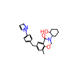 Cc1cc(Cc2ccc(-n3cccn3)cc2)cc2c1OCN(C1CCCCC1O)C2=O